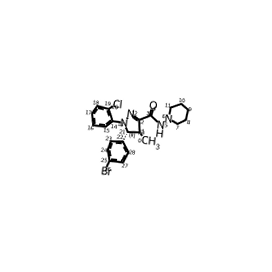 C[C@@H]1C(C(=O)NN2CCCCC2)=NN(c2ccccc2Cl)[C@H]1c1ccc(Br)cc1